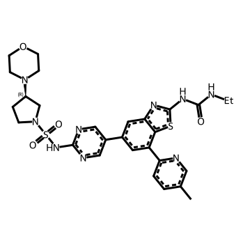 CCNC(=O)Nc1nc2cc(-c3cnc(NS(=O)(=O)N4CC[C@@H](N5CCOCC5)C4)nc3)cc(-c3ccc(C)cn3)c2s1